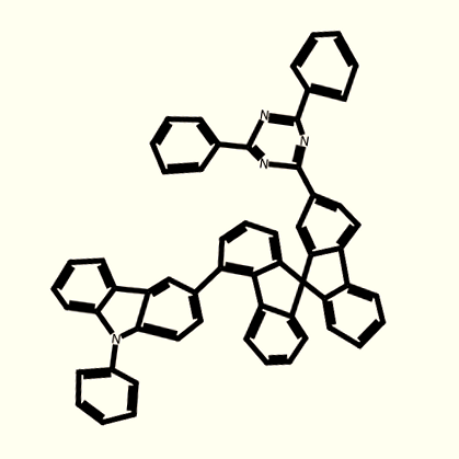 c1ccc(-c2nc(-c3ccccc3)nc(-c3ccc4c(c3)C3(c5ccccc5-4)c4ccccc4-c4c(-c5ccc6c(c5)c5ccccc5n6-c5ccccc5)cccc43)n2)cc1